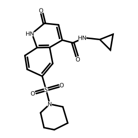 O=C(NC1CC1)c1cc(=O)[nH]c2ccc(S(=O)(=O)N3CCCCC3)cc12